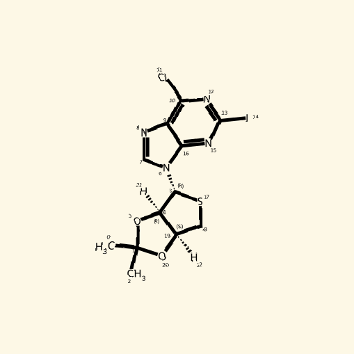 CC1(C)O[C@H]2[C@H](n3cnc4c(Cl)nc(I)nc43)SC[C@H]2O1